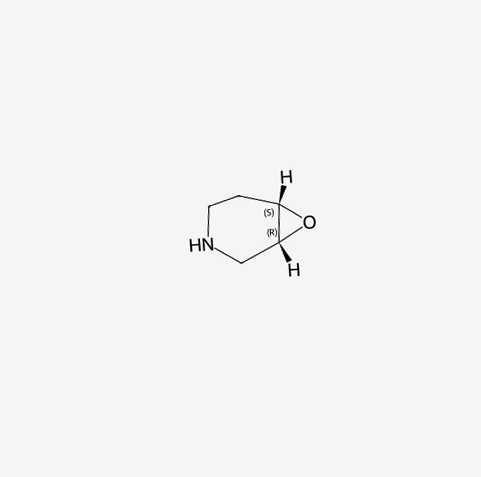 C1C[C@@H]2O[C@@H]2CN1